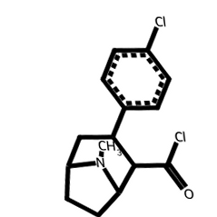 CN1C2CCC1C(C(=O)Cl)C(c1ccc(Cl)cc1)C2